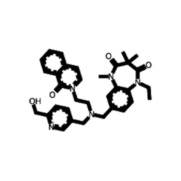 CCN1C(=O)C(C)(C)C(=O)N(C)c2cc(CN(CCn3ccc4ccccc4c3=O)Cc3ccc(CO)nc3)ccc21